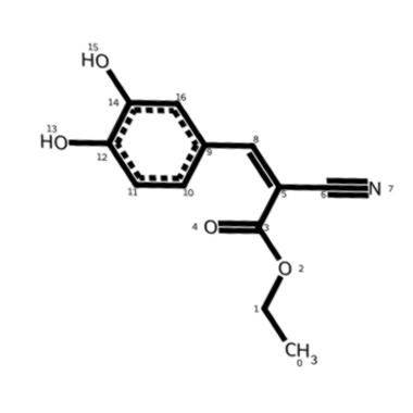 CCOC(=O)C(C#N)=Cc1ccc(O)c(O)c1